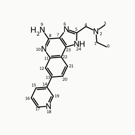 CCN(C)Cc1nc2c(N)nc3cc(-c4cccnc4)ccc3c2[nH]1